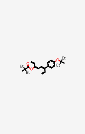 C=C/C(=C\C=C(/C=C)c1ccc(OC(C)(CC)CC)cc1)OC(=O)C(C)(CC)CC